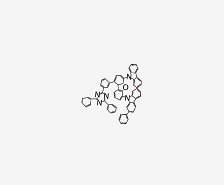 C1=C(c2cccc(-c3nc(-c4ccccc4)nc(-c4ccccc4)n3)c2)C2c3cccc(-n4c5ccccc5c5ccc(-c6ccccc6)cc54)c3OC2C(n2c3ccccc3c3ccccc32)=C1